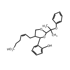 CC(C)(Oc1ccccc1)C1OCC(C/C=C\CCC(=O)O)C(c2ccccc2O)O1